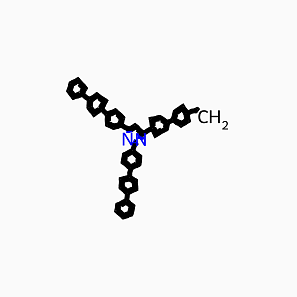 C=Cc1ccc(-c2ccc(-c3cc(-c4ccc(-c5ccc(-c6ccccc6)cc5)cc4)nc(-c4ccc(-c5ccc(-c6ccccc6)cc5)cc4)n3)cc2)cc1